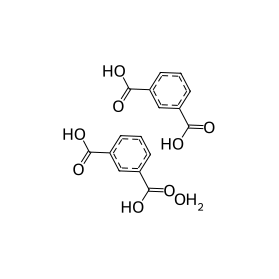 O.O=C(O)c1cccc(C(=O)O)c1.O=C(O)c1cccc(C(=O)O)c1